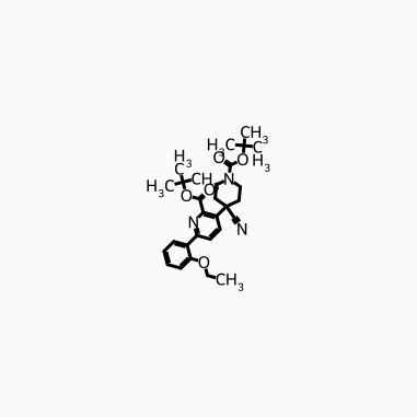 CCOc1ccccc1-c1ccc(C2(C#N)CCN(C(=O)OC(C)(C)C)CC2)c(C(=O)OC(C)(C)C)n1